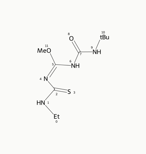 CCNC(=S)N=C(NC(=O)NC(C)(C)C)OC